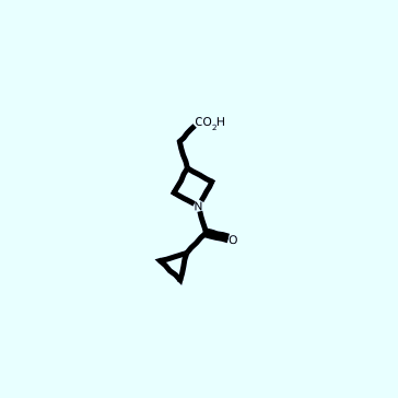 O=C(O)CC1CN(C(=O)C2CC2)C1